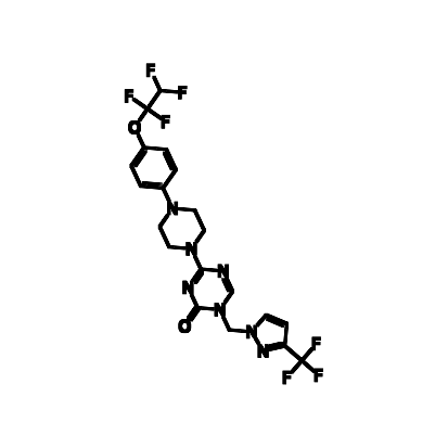 O=c1nc(N2CCN(c3ccc(OC(F)(F)C(F)F)cc3)CC2)ncn1Cn1ccc(C(F)(F)F)n1